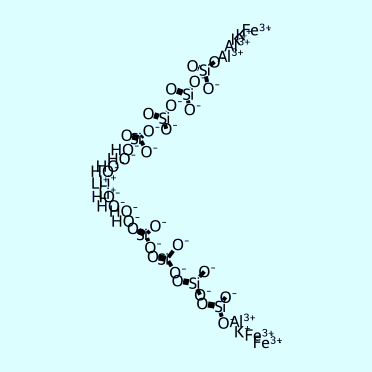 O=[Si]([O-])[O-].O=[Si]([O-])[O-].O=[Si]([O-])[O-].O=[Si]([O-])[O-].O=[Si]([O-])[O-].O=[Si]([O-])[O-].O=[Si]([O-])[O-].O=[Si]([O-])[O-].[Al+3].[Al+3].[Al+3].[Fe+3].[Fe+3].[Fe+3].[K+].[K+].[K+].[Li+].[Li+].[Li+].[OH-].[OH-].[OH-].[OH-].[OH-].[OH-].[OH-].[OH-]